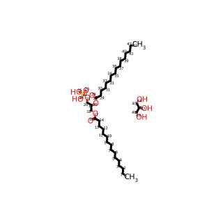 CCCCCCCCCCCCCCCC(=O)OCC(COP(=O)(O)O)OC(=O)CCCCCCCCCCCCCCC.OCC(O)CO